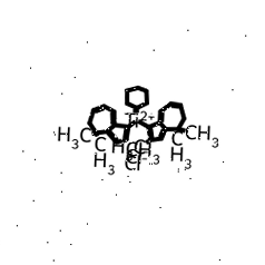 CC1=[C]([Ti+2]([C]2=C(C)C=C3C2=CC=CCC3(C)C)=[C]2CCCCC2)C2=CC=CCC(C)(C)C2=C1.[Cl-].[Cl-]